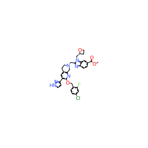 COC(=O)c1ccc2nc(CN3CCc4cc(-c5cc[nH]n5)c(OCc5ccc(Cl)cc5F)nc4C3)n(C[C@@H]3CCO3)c2c1